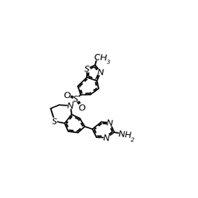 Cc1nc2ccc(S(=O)(=O)N3CCSc4ccc(-c5cnc(N)nc5)cc43)cc2s1